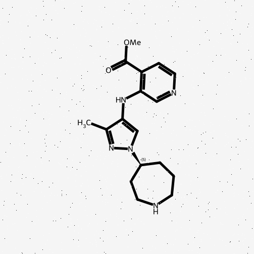 COC(=O)c1ccncc1Nc1cn([C@H]2CCCNCC2)nc1C